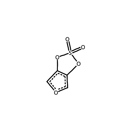 O=S1(=O)Oc2cocc2O1